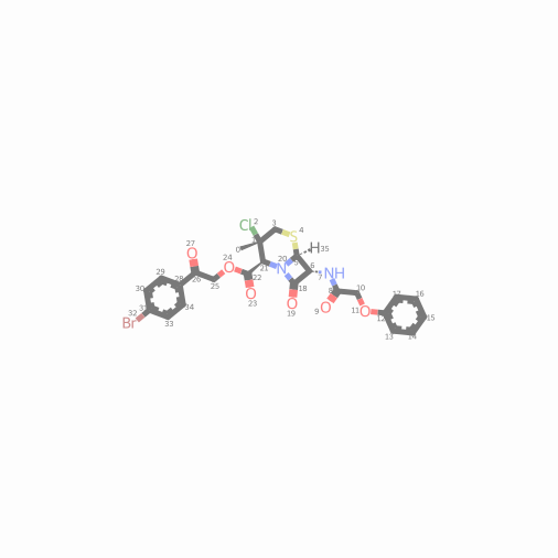 C[C@@]1(Cl)CS[C@H]2[C@H](NC(=O)COc3ccccc3)C(=O)N2[C@H]1C(=O)OCC(=O)c1ccc(Br)cc1